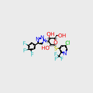 OC[C@H]1O[C@H](Sc2cc(Cl)cnc2C(F)(F)F)[C@H](O)[C@@H](n2cc(-c3cc(F)c(F)c(F)c3)nn2)[C@H]1O